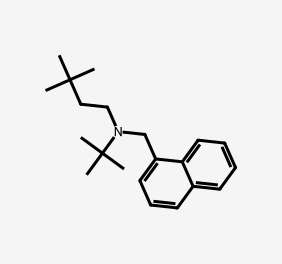 CC(C)(C)CCN(Cc1cccc2ccccc12)C(C)(C)C